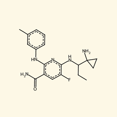 CCC(Nc1nc(Nc2cccc(C)c2)c(C(N)=O)cc1F)C1(N)CC1